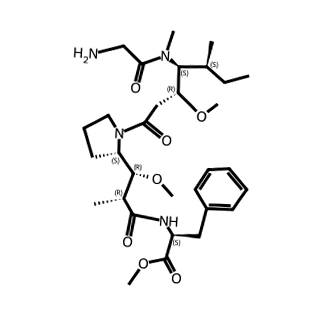 CC[C@H](C)[C@@H]([C@@H](CC(=O)N1CCC[C@H]1[C@H](OC)[C@@H](C)C(=O)N[C@@H](Cc1ccccc1)C(=O)OC)OC)N(C)C(=O)CN